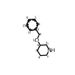 c1ccc(COC2CCCNC2)cc1